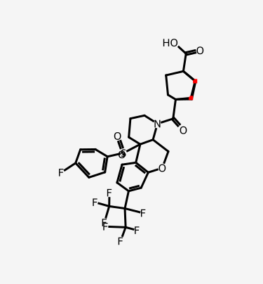 O=C(O)C12CCC(C(=O)N3CCCC4(S(=O)(=O)c5ccc(F)cc5)c5ccc(C(F)(C(F)(F)F)C(F)(F)F)cc5OCC34)(CC1)CC2